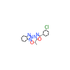 CC(On1nnc2ccccc21)c1nnc(-c2cccc(Cl)c2)o1